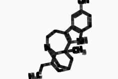 CCC1CC2CN3CCc4c([nH]c5ccc(O)cc45)C(C)(C2)C13